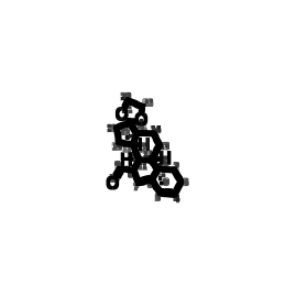 C[C@]12CCC=CC1=CC(C=O)[C@@H]1[C@@H]2CC[C@@]2(C)[C@H]1CCC21OCCO1